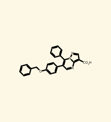 O=C(O)c1cnn2c(-c3ccccc3)c(-c3ccc(OCc4ccccc4)cc3)cnc12